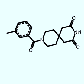 Cc1cccc(C(=O)N2CCC3(CC2)CC(=O)NC(=O)C3)c1